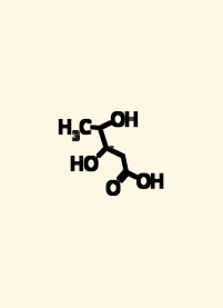 CC(O)[C](O)CC(=O)O